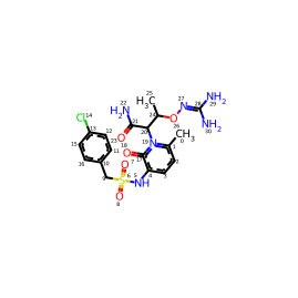 Cc1ccc(NS(=O)(=O)Cc2ccc(Cl)cc2)c(=O)n1C(C(N)=O)C(C)ON=C(N)N